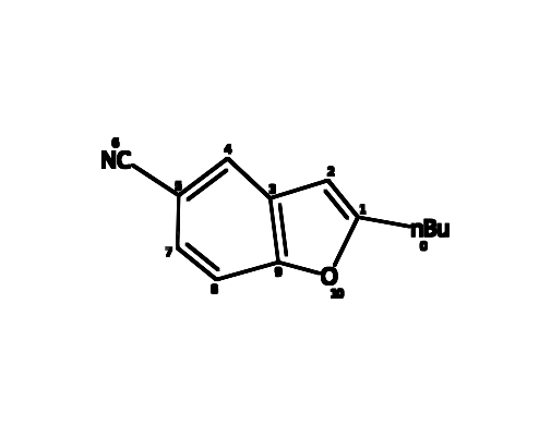 CCCCc1cc2cc(C#N)ccc2o1